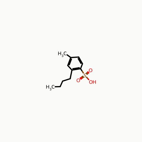 CCCCc1cc(C)ccc1S(=O)(=O)O